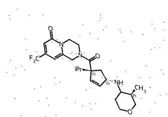 CC(C)[C@]1(C(=O)N2CCn3c(cc(C(F)(F)F)cc3=O)C2)C=C[C@@H](NC2CCOC[C@@H]2C)C1